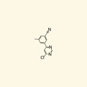 Cc1cc(C#N)cc(-c2cc(Cl)ncn2)c1